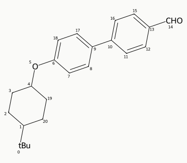 CC(C)(C)C1CCC(Oc2ccc(-c3ccc(C=O)cc3)cc2)CC1